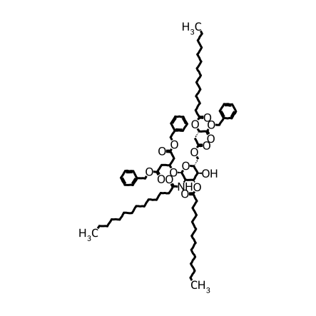 CCCCCCCCCCCCCC(=O)N[C@H]1[C@@H](OC(CC(=O)OCc2ccccc2)CC(=O)OCc2ccccc2)O[C@H](COC(=O)C[C@H](OC(=O)CCCCCCCCCCCCC)C(=O)OCc2ccccc2)[C@@H](O)[C@@H]1OC(=O)CCCCCCCCCCCCC